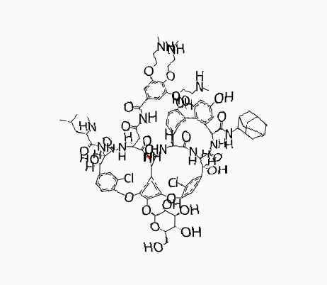 CNCCOc1cc(C(=O)NC(=O)C[C@@H]2NC(=O)[C@H](NC(=O)[C@@H](CC(C)C)NC)[C@H](O)c3ccc(c(Cl)c3)Oc3cc4cc(c3O[C@@H]3O[C@H](CO)[C@@H](O)[C@H](O)[C@H]3O)Oc3ccc(cc3Cl)[C@@H](O)[C@@H]3NC(=O)[C@H](NC(=O)[C@@H]4NC2=O)c2ccc(O)c(c2)-c2c(O)cc(O)cc2[C@@H](C(=O)NC2C4CC5CC(C4)CC2C5)NC3=O)cc(OCCNC)c1OCCNC